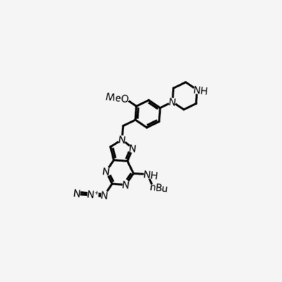 CCCCNc1nc(N=[N+]=[N-])nc2cn(Cc3ccc(N4CCNCC4)cc3OC)nc12